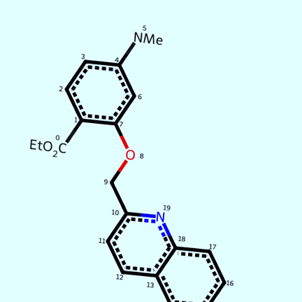 CCOC(=O)c1ccc(NC)cc1OCc1ccc2ccccc2n1